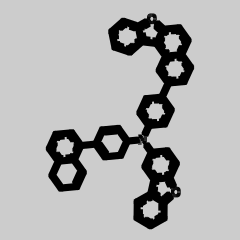 C1=Cc2c(cccc2C2=CCC(N(c3ccc(-c4ccc5ccc6oc7ccccc7c6c5c4)cc3)c3ccc4oc5ccccc5c4c3)C=C2)CC1